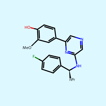 CCC[C@H](Nc1cncc(-c2ccc(O)c(OC)c2)n1)c1ccc(F)cc1